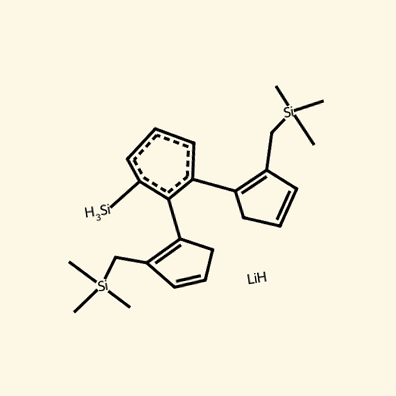 C[Si](C)(C)CC1=C(c2cccc([SiH3])c2C2=C(C[Si](C)(C)C)C=CC2)CC=C1.[LiH]